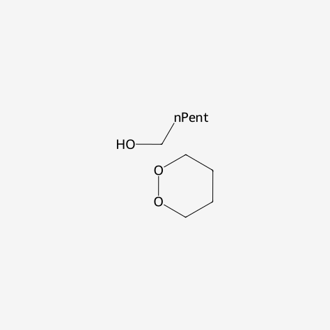 C1CCOOC1.CCCCCCO